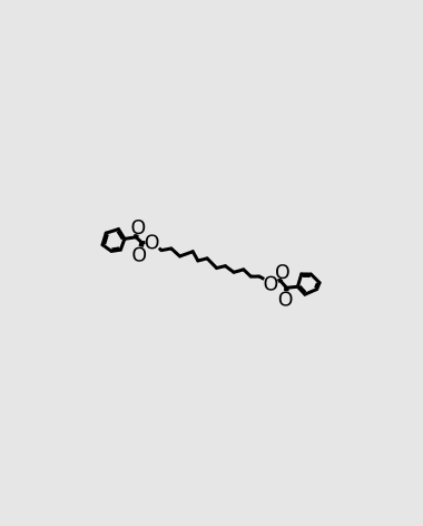 O=C(OCCCCCCCCCCCCOC(=O)C(=O)c1ccccc1)C(=O)c1ccccc1